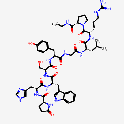 CCNC(=O)[C@@H]1CCCN1C(=O)[C@H](CCCNC(=N)N)NC(=O)[C@H](CC(C)C)NC(=O)CNC(=O)[C@H](Cc1ccc(O)cc1)NC(=O)[C@H](CO)NC(=O)[C@H](Cc1c[nH]c2ccccc12)NC(=O)[C@H](Cc1c[nH]cn1)NC(=O)[C@@H]1CCC(=O)N1